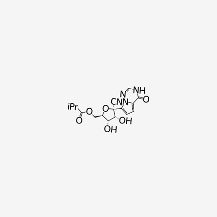 CC(C)C(=O)OC[C@H]1O[C@@](C#N)(c2ccc3c(=O)[nH]cnn23)[C@H](O)[C@@H]1O